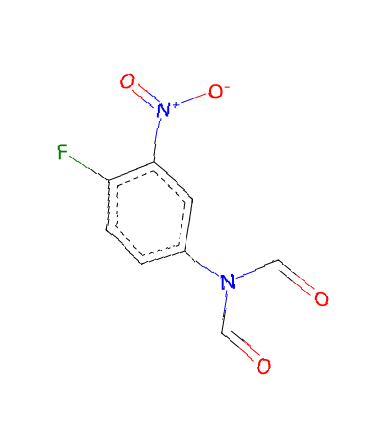 O=CN(C=O)c1ccc(F)c([N+](=O)[O-])c1